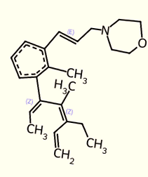 C=C/C(CC)=C(C)\C(=C/C)c1cccc(/C=C/CN2CCOCC2)c1C